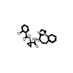 O=C(NC1(C(=O)N[C@@H]2CCc3ccccc3-n3ccnc32)CC1)c1ccccc1Cl